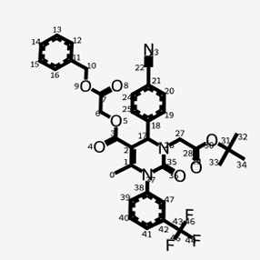 CC1=C(C(=O)OCC(=O)OCc2ccccc2)C(c2ccc(C#N)cc2)N(CC(=O)OC(C)(C)C)C(=O)N1c1cccc(C(F)(F)F)c1